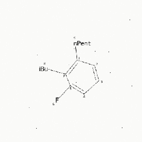 CCCCCc1cccc(F)c1C(C)CC